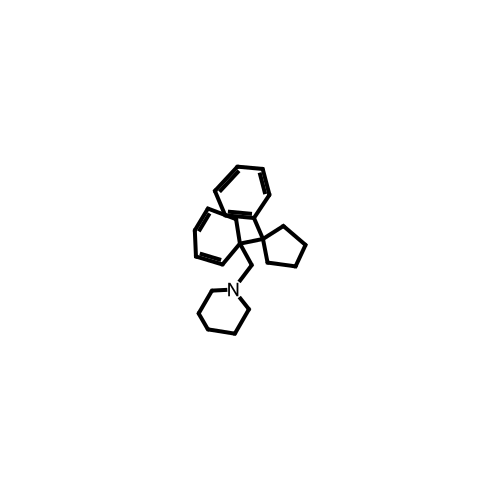 C1=CCC(CN2CCCCC2)(C2(c3ccccc3)CCCC2)C=C1